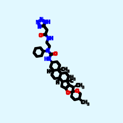 C[C@H]1CC[C@@]2(OC1)OC1CC3[C@@H]4CC[C@@H]5C[C@H](NC(=O)N(CCNC(=O)Cc6nnn[nH]6)C6CCCCC6)CC[C@]5(C)C4CC[C@]3(C)C1[C@@H]2C